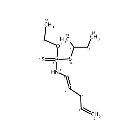 C=CCN=CNP(=S)(OCC)SC(C)CC